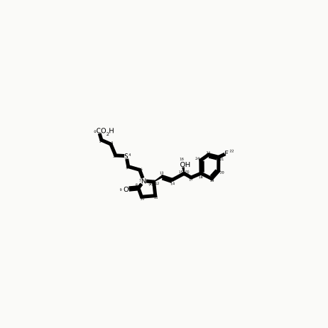 O=C(O)CCCSCCN1C(=O)CC[C@@H]1C=C[C@@H](O)Cc1ccc(F)cc1